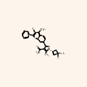 COc1c(F)c(-c2ccccc2)nc2cc(-c3nn([C@H]4C[C@@](C)(O)C4)c(N)c3C(N)=O)ccc12